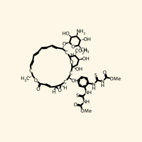 COC(=O)NC(=S)Nc1ccccc1NC(=S)NC(=O)OC.C[C@@H]1C/C=C/C=C/C=C/C=C/[C@H](O[C@@H]2O[C@H](C)[C@@H](O)[C@H](N)[C@@H]2O)C[C@@H]2O[C@](O)(C[C@@H](O)C[C@H]3O[C@@H]3/C=C/C(=O)O1)C[C@H](O)[C@H]2C(=O)O